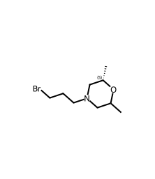 CC1CN(CCCBr)C[C@H](C)O1